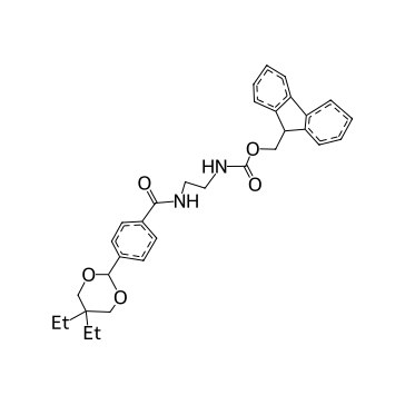 CCC1(CC)COC(c2ccc(C(=O)NCCNC(=O)OCC3c4ccccc4-c4ccccc43)cc2)OC1